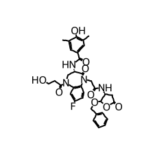 Cc1cc(C(=O)N[C@H]2CN(C(=O)CCO)c3cc(F)ccc3N(CC(=O)N[C@H]3CC(=O)OC3OCc3ccccc3)C2=O)cc(C)c1O